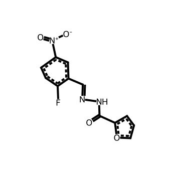 O=C(N/N=C/c1cc([N+](=O)[O-])ccc1F)c1ccco1